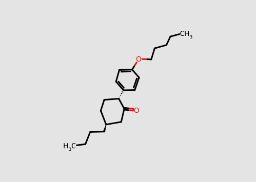 CCCCCOc1ccc([C@H]2CC[C@H](CCCC)CC2=O)cc1